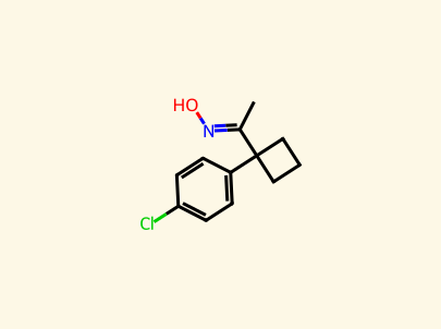 CC(=NO)C1(c2ccc(Cl)cc2)CCC1